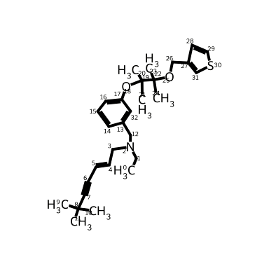 CCN(C/C=C/C#CC(C)(C)C)Cc1cccc(OC(C)(C)C(C)(C)OCc2ccsc2)c1